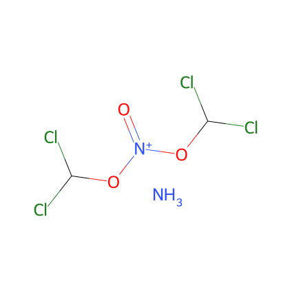 N.O=[N+](OC(Cl)Cl)OC(Cl)Cl